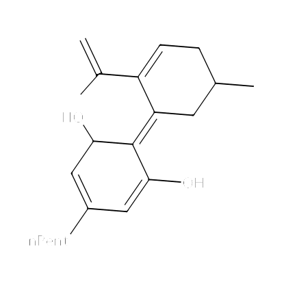 C=C(C)C1=CCC(C)CC1=C1C(O)=CC(CCCCC)=CC1O